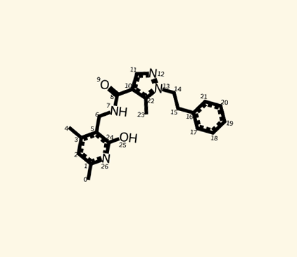 Cc1cc(C)c(CNC(=O)c2cnn(CCc3ccccc3)c2C)c(O)n1